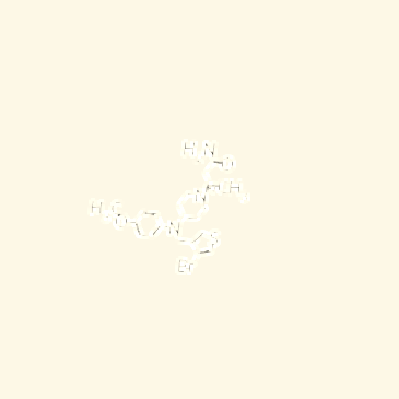 COc1ccc(N(Cc2cscc2Br)C2CCN([C@H](C)CC(N)=O)CC2)cc1